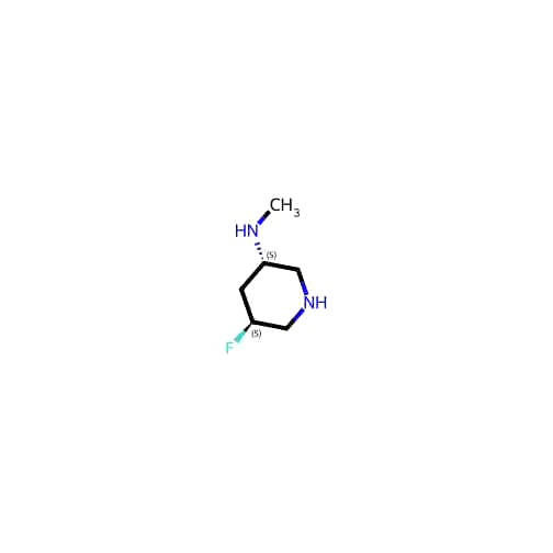 CN[C@@H]1CNC[C@@H](F)C1